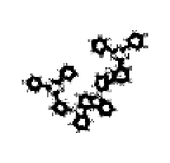 c1ccc(-c2nc(-c3ccccc3)nc(-c3cccc(-n4c5ccccc5c5c6c7ccccc7n(-c7ccc8oc9c(-c%10nc(-c%11ccccc%11)nc(-c%11ccccc%11)n%10)cccc9c8c7)c6ccc54)c3)n2)cc1